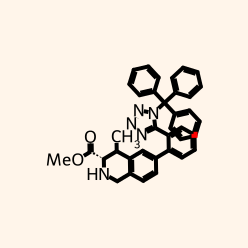 COC(=O)[C@H]1NCc2ccc(-c3ccccc3-c3nnnn3C(c3ccccc3)(c3ccccc3)c3ccccc3)cc2C1C